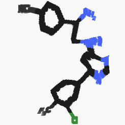 N#Cc1ccc([C@@H](N)CNc2cc(-c3ccc(C(F)(F)F)c(Cl)c3)ncn2)cc1